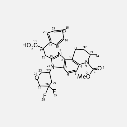 COC(=O)N1c2ccc3c(nc(CC(C(=O)O)c4ccc(C)cc4)n3C3COCC(F)(F)C3)c2CCC1C